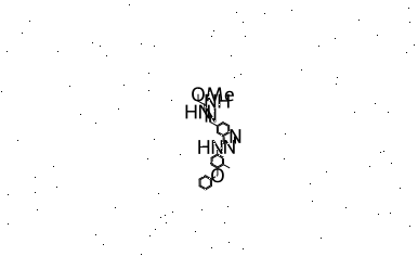 COCC(=N)N/N=C/c1ccc2ncnc(Nc3ccc(Oc4ccccc4)c(C)c3)c2c1